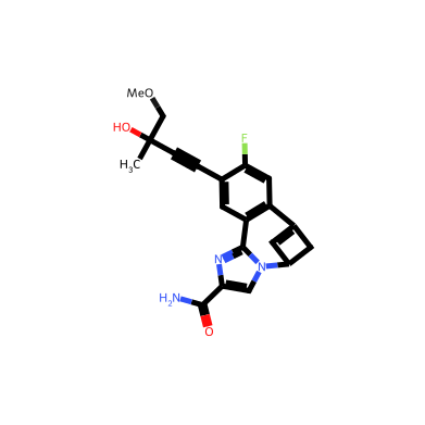 COCC(C)(O)C#Cc1cc2c(cc1F)C1=CC(C1)n1cc(C(N)=O)nc1-2